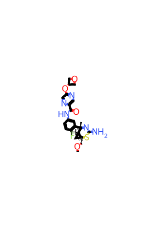 COC[C@]12C[C@H]1[C@](C)(c1cc(NC(=O)c3cnc(OC4COC4)cn3)ccc1F)N=C(N)S2